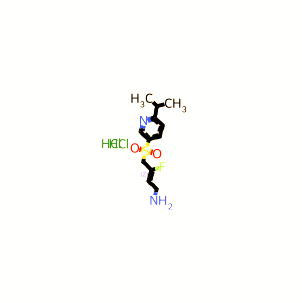 CC(C)c1ccc(S(=O)(=O)C/C(F)=C/CN)cn1.Cl.Cl